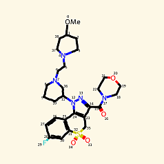 COC1CCN(CCN2CCCC(n3nc(C(=O)N4CCOCC4)c4c3-c3ccc(F)cc3S(=O)(=O)C4)C2)CC1